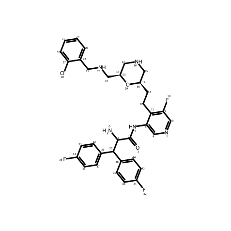 NC(C(=O)Nc1cncc(F)c1CC[C@@H]1CNC[C@H](CNCc2ccccc2Cl)O1)C(c1ccc(F)cc1)c1ccc(F)cc1